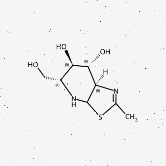 CC1=N[C@H]2C(N[C@H](CO)[C@@H](O)[C@@H]2O)S1